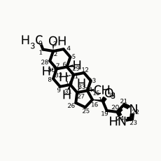 CC[C@@]1(O)CC[C@H]2[C@@H](CC[C@@H]3[C@@H]2CC[C@]2(C)[C@@H](C(=O)Cc4cnc[nH]4)CC[C@@H]32)C1